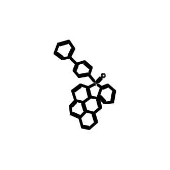 O=P(c1ccccc1)(c1ccc(-c2ccccc2)cc1)c1ccc2ccc3cccc4ccc1c2c34